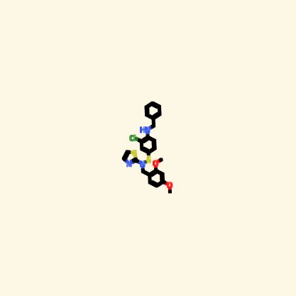 COc1ccc(CN(Sc2ccc(NCc3ccccc3)c(Cl)c2)c2nccs2)c(OC)c1